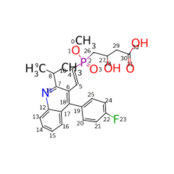 COP(=O)(C=Cc1c(C(C)C)nc2ccccc2c1-c1ccc(F)cc1)CC(O)CC(=O)O